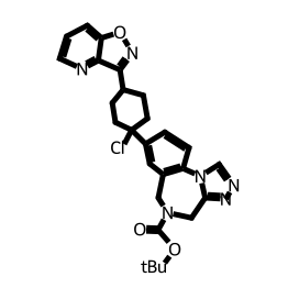 CC(C)(C)OC(=O)N1Cc2cc(C3(Cl)CCC(c4noc5cccnc45)CC3)ccc2-n2cnnc2C1